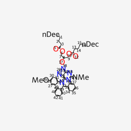 CCCCCCCCCCCCCC(=O)OCC(COC(=O)CCCCCCCCCCCCC)OCn1cnc2c(N(c3ccc(OC)cc3)C(c3ccccc3)c3ccccc3)nc(NC)nc21